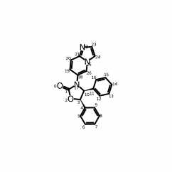 O=C1O[C@H](c2ccccc2)[C@H](c2ccccc2)N1c1ccc2nccn2c1